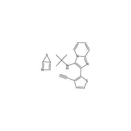 C#Cc1ccsc1-c1nc2ccccn2c1NC(C)(C)C.c1nc2sc1-2